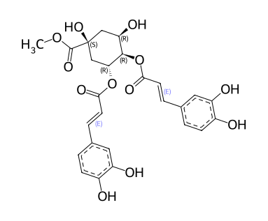 COC(=O)[C@]1(O)C[C@@H](O)[C@@H](OC(=O)/C=C/c2ccc(O)c(O)c2)[C@H](OC(=O)/C=C/c2ccc(O)c(O)c2)C1